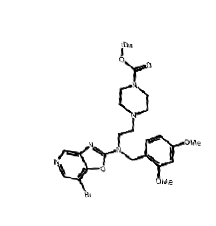 COc1ccc(CN(CCN2CCN(C(=O)OC(C)(C)C)CC2)c2nc3cncc(Br)c3o2)c(OC)c1